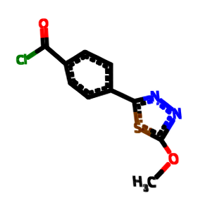 COc1nnc(-c2ccc(C(=O)Cl)cc2)s1